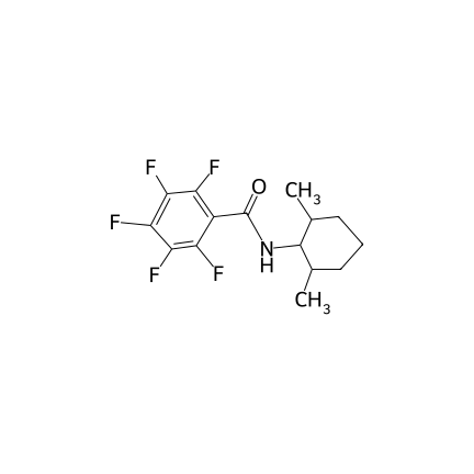 CC1CCCC(C)C1NC(=O)c1c(F)c(F)c(F)c(F)c1F